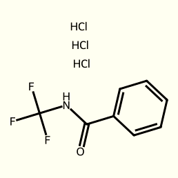 Cl.Cl.Cl.O=C(NC(F)(F)F)c1ccccc1